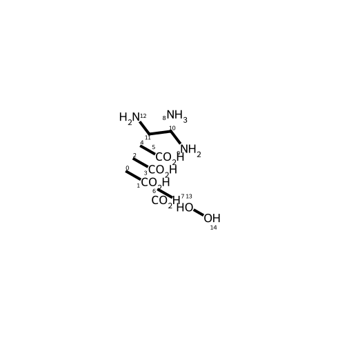 CC(=O)O.CC(=O)O.CC(=O)O.CC(=O)O.N.NCCN.OO